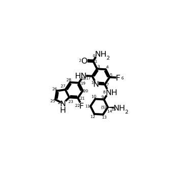 NC(=O)c1cc(F)c(NC2CCCC[C@@H]2N)nc1Nc1cc(F)c2[nH]ccc2c1